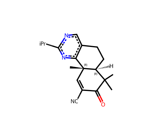 CC(C)c1ncc2c(n1)[C@@]1(C)C=C(C#N)C(=O)C(C)(C)[C@@H]1CC2